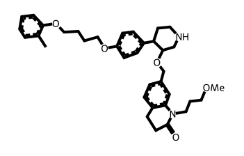 COCCCN1C(=O)CCc2ccc(COC3CNCCC3c3ccc(OCCCCOc4ccccc4C)cc3)cc21